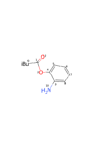 CCC(C)C(=O)Oc1ccccc1N